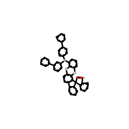 C1=CC2c3ccccc3C3(c4ccccc4-c4ccc5c(c43)Oc3cccc(N(c4ccc(-c6ccccc6)cc4)c4cccc(-c6ccccc6)c4)c3O5)C2C=C1